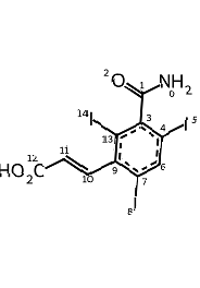 NC(=O)c1c(I)cc(I)c(/C=C/C(=O)O)c1I